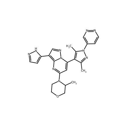 Cc1nn(-c2ccnnc2)c(C)c1-c1cc(N2CCOCC2C)nc2c(-c3ccn[nH]3)cnn12